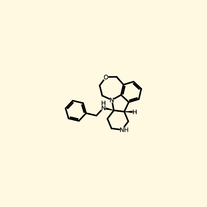 c1ccc(CN[C@]23CCNC[C@H]2c2cccc4c2N3CCOC4)cc1